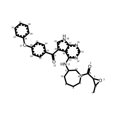 CC1OC1C(=O)N1CCCCC(Nc2ncnc3[nH]cc(C(=O)c4ccc(Oc5ccccc5)cc4)c23)C1